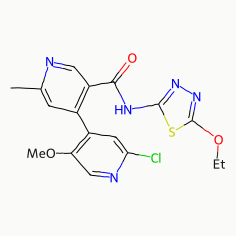 CCOc1nnc(NC(=O)c2cnc(C)cc2-c2cc(Cl)ncc2OC)s1